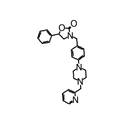 O=C1OC(c2ccccc2)CN1Cc1ccc(N2CCN(Cc3ccccn3)CC2)cc1